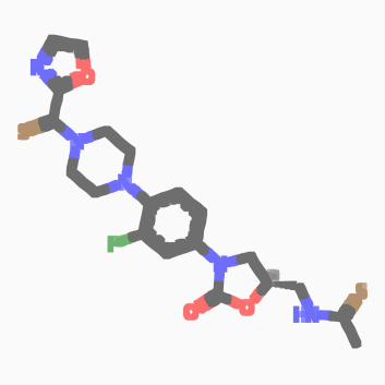 CC(=S)NC[C@H]1CN(c2ccc(N3CCN(C(=S)c4ncco4)CC3)c(F)c2)C(=O)O1